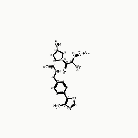 Cc1ncsc1-c1ccc(CNC(=O)[C@@H]2C[C@@H](O)CN2C(=O)[C@@H](N=[N+]=[N-])C(C)C)cc1